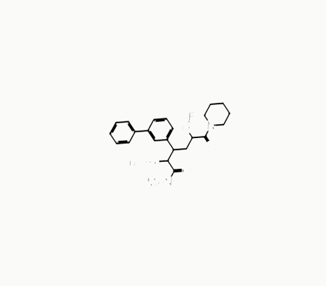 CCCCCCC(C(=O)NC)C(CC(OCC)C(=O)N1CCCCC1)c1cccc(-c2ccccc2)c1